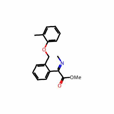 C/N=C(/C(=O)OC)c1ccccc1COc1ccccc1C